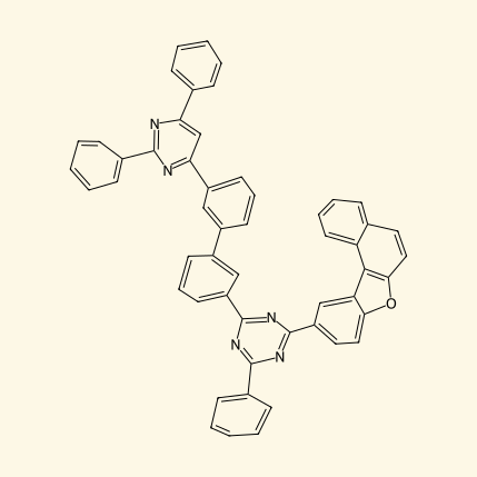 c1ccc(-c2cc(-c3cccc(-c4cccc(-c5nc(-c6ccccc6)nc(-c6ccc7oc8ccc9ccccc9c8c7c6)n5)c4)c3)nc(-c3ccccc3)n2)cc1